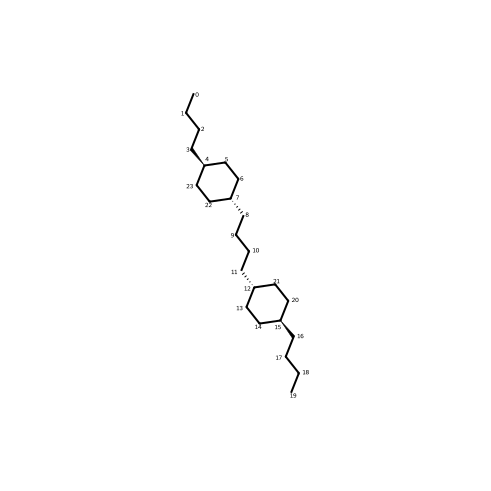 CCCC[C@H]1CC[C@H](CCCC[C@H]2CC[C@H](CCCC)CC2)CC1